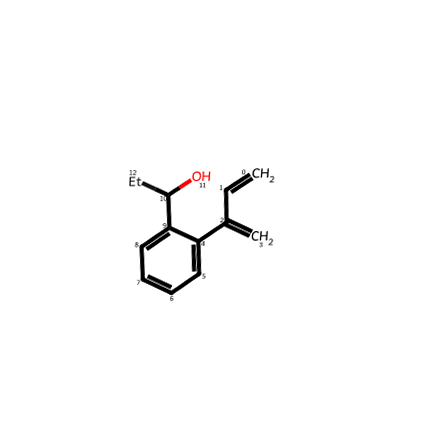 C=CC(=C)c1ccccc1C(O)CC